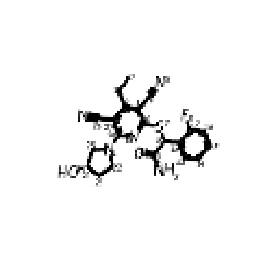 CCc1c(C#N)c(SC(C(N)=O)c2ccccc2F)nc(N2CC[C@H](O)C2)c1C#N